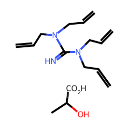 C=CCN(CC=C)C(=N)N(CC=C)CC=C.CC(O)C(=O)O